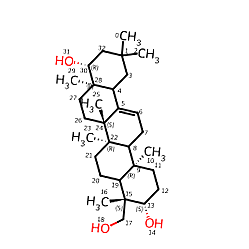 CC1(C)CC2C3=CCC4[C@@]5(C)CC[C@H](O)[C@](C)(CO)C5CC[C@@]4(C)[C@]3(C)CC[C@@]2(C)[C@H](O)C1